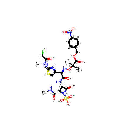 CNC(=O)[C@@H]1[C@H](NC(=O)C(=NOC(C)(C)C(=O)OCc2ccc([N+](=O)[O-])cc2)c2csc(NC(=O)CCl)n2)C(=O)N1S(=O)(=O)[O-].[Na+]